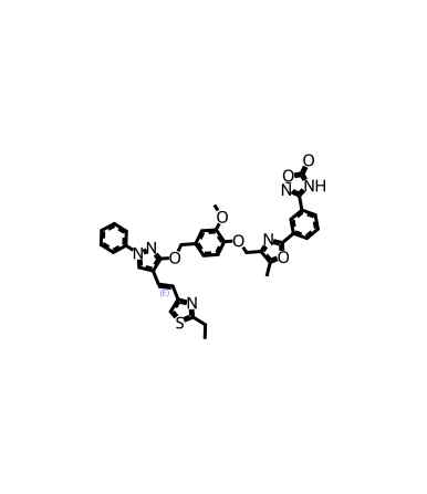 CCc1nc(/C=C/c2cn(-c3ccccc3)nc2OCc2ccc(OCc3nc(-c4cccc(-c5noc(=O)[nH]5)c4)oc3C)c(OC)c2)cs1